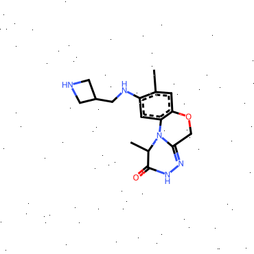 Cc1cc2c(cc1NCC1CNC1)N1C(=NNC(=O)C1C)CO2